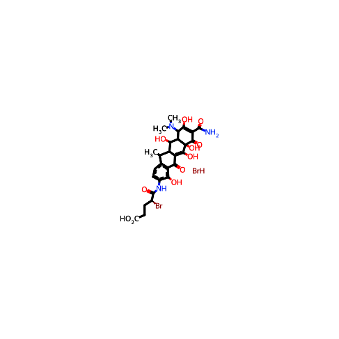 Br.CC1c2ccc(NC(=O)[C@@H](Br)CCC(=O)O)c(O)c2C(=O)C2=C(O)C3(O)C(=O)C(C(N)=O)=C(O)C(N(C)C)C3C(O)C21